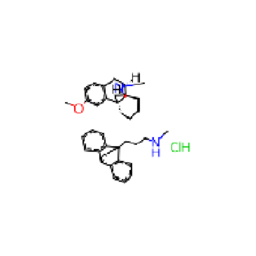 CNCCCC12CCC(c3ccccc31)c1ccccc12.COc1ccc2c(c1)[C@]13CCCC[C@@H]1[C@H](C2)N(C)CC3.Cl